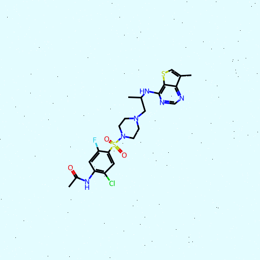 CC(=O)Nc1cc(F)c(S(=O)(=O)N2CCN(CC(C)Nc3ncnc4c(C)csc34)CC2)cc1Cl